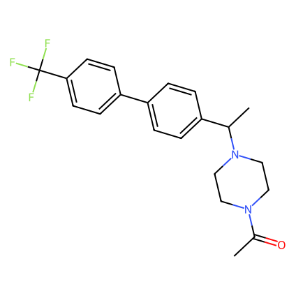 CC(=O)N1CCN(C(C)c2ccc(-c3ccc(C(F)(F)F)cc3)cc2)CC1